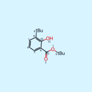 CC(C)(C)OC(=O)c1cccc(C(C)(C)C)c1O